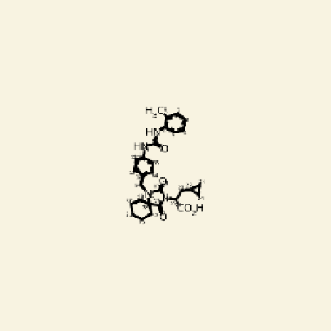 Cc1ccccc1NC(=O)Nc1ccc(CN2C(=O)N([C@@H](CC3CC3)C(=O)O)C(=O)C23CCCCC3)cc1